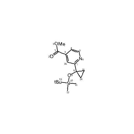 COC(=O)c1ccnc(C2(O[Si](C)(C)C(C)(C)C)CC2)c1